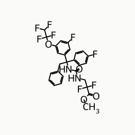 COC(=O)C(F)(F)CNC(=O)NC(Cc1ccccc1)(c1ccc(F)cc1)c1cc(F)cc(OC(F)(F)C(F)F)c1